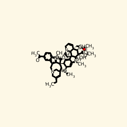 CCC1=C[C@H]2CN(C1)Cc1c([nH]c3ccc(C(C)=O)cc13)[C@@](C(=O)OC)(C1C=C3C(=CC1OC)N(C)[C@H]1[C@@](O)(C(=O)OC)[C@H](OC(C)=O)[C@]4(CC)C=CCN5CC[C@]31[C@@H]54)C2